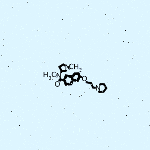 CN1CCC(N(C)C(=O)c2ccc3cc(OCCCN4CCCCC4)ccc3c2)C1